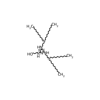 C=CCCCCCCCCCN(CCCCCCCCCC=C)CCCNc1nc(NCCCO)nc(NCCCN(CCCCCCCCCC=C)CCCCCCCCCC=C)n1